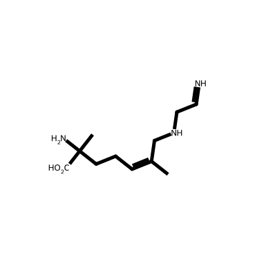 CC(=CCCC(C)(N)C(=O)O)CNCC=N